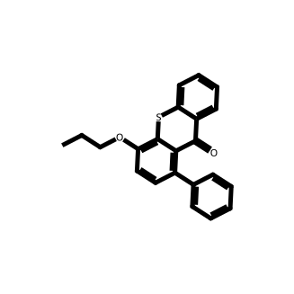 CCCOc1ccc(-c2ccccc2)c2c(=O)c3ccccc3sc12